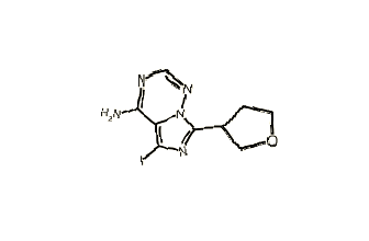 Nc1ncnn2c(C3CCOC3)nc(I)c12